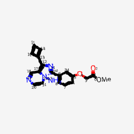 COC(=O)COc1cccc(C2=NC(C3=CC=C3)=C3C=NC=C[N+]23N)c1